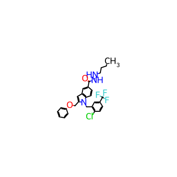 CCCCNNC(=O)c1ccc2c(c1)cc(COc1ccccc1)n2Cc1cc(C(F)(F)F)ccc1Cl